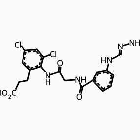 NN=CNc1cccc(C(=O)NCC(=O)Nc2c(Cl)cc(Cl)cc2CCC(=O)O)c1